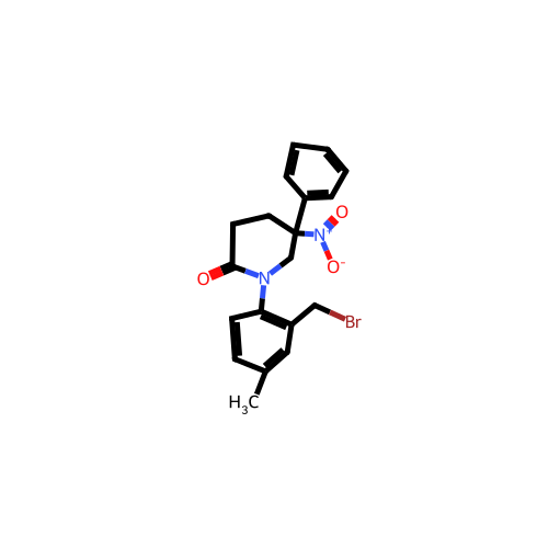 Cc1ccc(N2CC(c3ccccc3)([N+](=O)[O-])CCC2=O)c(CBr)c1